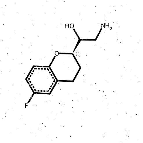 NCC(O)[C@H]1CCc2cc(F)ccc2O1